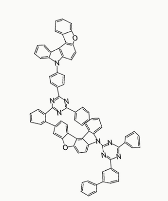 c1ccc(-c2cccc(-c3nc(-c4ccccc4)nc(-n4c5ccccc5c5c6c(ccc54)oc4cc(-c5ccccc5-c5nc(-c7ccccc7)nc(-c7ccc(-n8c9ccccc9c9c%10c(ccc98)oc8ccccc8%10)cc7)n5)ccc46)n3)c2)cc1